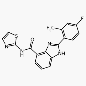 O=C(Nc1nccs1)c1cccc2[nH]c(-c3ccc(F)cc3C(F)(F)F)nc12